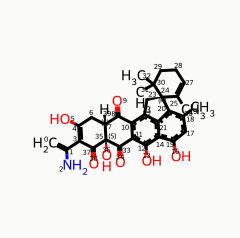 C=C(N)C1=C(O)C[C@@H]2C(=O)c3c(c(O)c4c(O)cc(C)c5c4c3C[C@@]53C(C)=CCCC3(C)C)C(=O)[C@]2(O)C1=O